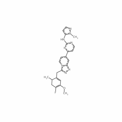 COC1=C(F)CC(C)C(Cc2nnc3cc(-c4ccnc(Nc5ccnn5C)n4)ccn23)=C1